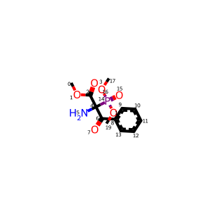 COC(=O)C(N)(C(=O)c1ccccc1)P(=O)(OC)OC